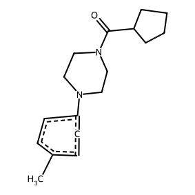 Cc1ccc(N2CCN(C(=O)C3CCCC3)CC2)cc1